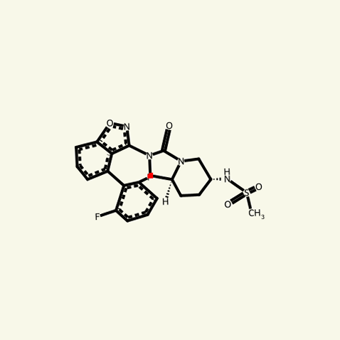 CS(=O)(=O)N[C@@H]1CC[C@H]2CN(c3noc4cccc(-c5c(F)cccc5F)c34)C(=O)N2C1